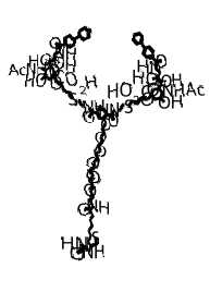 CC(=O)NC1C(O)CC(OCCCSCCNC(=O)c2ccc(C(=O)NCCSCCCOC3(C(=O)O)CC(O)C(NC(C)=O)C([C@H](O)[C@H](O)CNC(=O)c4ccc(-c5ccccc5)cc4)O3)cc2OCCOCCOCCOCCOCCOCCNC(=O)CCCCC2SCC3NC(=O)NC32)(C(=O)O)OC1[C@H](O)C(O)CNC(=O)c1ccc(-c2ccccc2)cc1